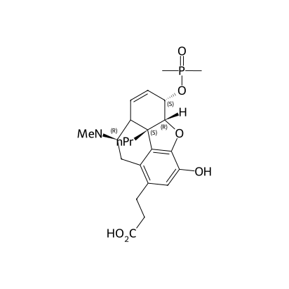 CCC[C@]12c3c4c(CCC(=O)O)cc(O)c3O[C@H]1[C@@H](OP(C)(C)=O)C=CC2[C@H](NC)C4